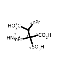 CCCC(C(=O)O)C(CCC)(C(=O)O)S(=O)(=O)O.[NaH]